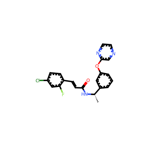 C[C@H](NC(=O)/C=C/c1ccc(Cl)cc1F)c1cccc(Oc2cnccn2)c1